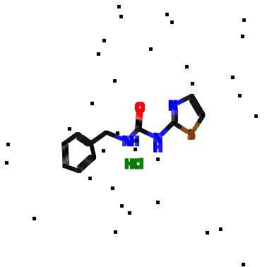 Cl.O=C(NCc1ccccc1)Nc1nccs1